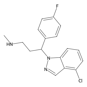 CNCCC(c1ccc(F)cc1)n1ncc2c(Cl)cccc21